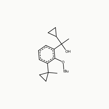 CC(C)(C)Oc1c(C2(C)CC2)cccc1C(C)(O)C1CC1